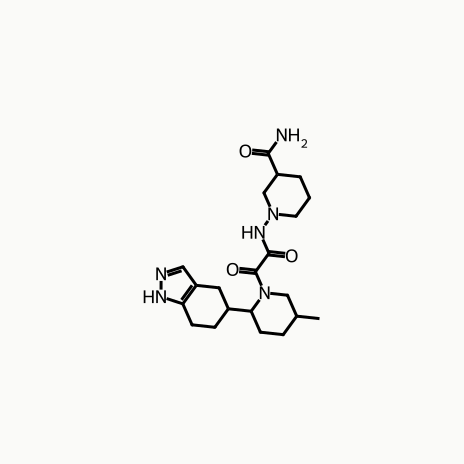 CC1CCC(C2CCc3[nH]ncc3C2)N(C(=O)C(=O)NN2CCCC(C(N)=O)C2)C1